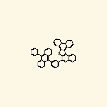 c1ccc(-c2c3ccccc3c(-c3cccc(-c4cc5ccccc5c5c4sc4c6ccccc6c6ccccc6c45)c3)c3ccccc23)cc1